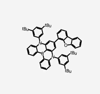 CC(C)(C)c1cc(N2c3ccccc3B3c4ccccc4N(c4cc(C(C)(C)C)cc(C(C)(C)C)c4)c4cc(-c5cccc6c5oc5ccccc56)cc2c43)cc(C(C)(C)C)c1